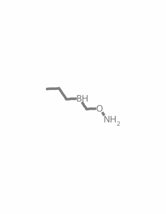 CCCBCON